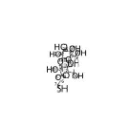 OCC1O[C@@H](OCCS)C(O)C(O[C@H]2OC(CO)[C@H](O)C(O)[C@@H]2O)[C@H]1O